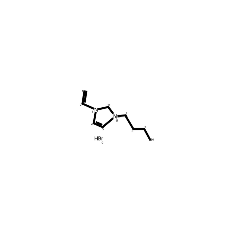 Br.C=CN1C=CN(CCCC)C1